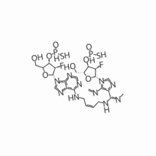 C=Nc1c(/C(=N\C)NC/C=C\CNc2ncnc3c2ncn3[C@@H]2OC(CO)[C@@H](O[PH](=O)S)[C@H]2F)ncn1[C@@H]1O[C@H](CO)[C@@H](O[PH](=O)S)[C@H]1F